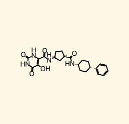 O=C(N[C@@H]1CC[C@@H](C(=O)N[C@H]2CC[C@@H](c3ccccc3)CC2)C1)c1[nH]c(=O)[nH]c(=O)c1O